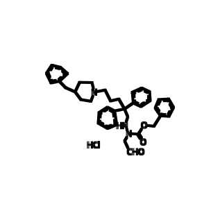 Cl.O=CCN(NCC(CCCN1CCC(Cc2ccccc2)CC1)(c1ccccc1)c1ccccc1)C(=O)OCc1ccccc1